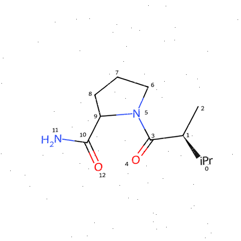 CC(C)[C@H](C)C(=O)N1CCCC1C(N)=O